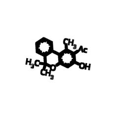 CC(=O)c1c(O)cc2c(c1C)-c1ccccc1C(C)(C)O2